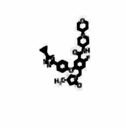 C[C@H]1CC(=O)N(Cc2cc(F)c(C(=O)NC3CCN(C4CCOCC4)CC3)cc2Oc2ccc(-c3nnc(C4CC4)s3)cc2)C1